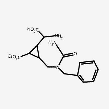 CCOC(=O)C1C(CN(Cc2ccccc2)C(N)=O)C1C(N)C(=O)O